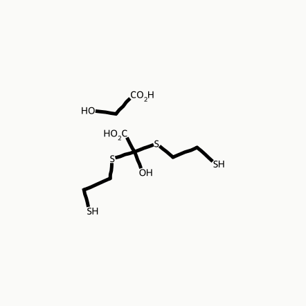 O=C(O)C(O)(SCCS)SCCS.O=C(O)CO